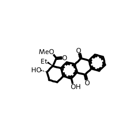 CC[C@@]1(C(=O)OC)c2cc3c(c(O)c2CC[C@@H]1O)C(=O)c1ccccc1C3=O